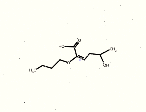 CCCCO/C(=C/CC(C)O)C(=O)O